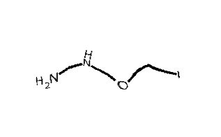 NNOCI